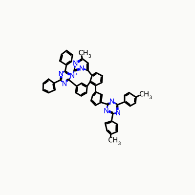 Cc1ccc(-c2nc(-c3ccc(C)cc3)nc(-c3cccc(-c4cccc5c6cc(C)nc(n6)[n+]6c(-c7ccccc7)nc(-c7ccccc7)nc6c6cccc(c6)c45)c3)n2)cc1